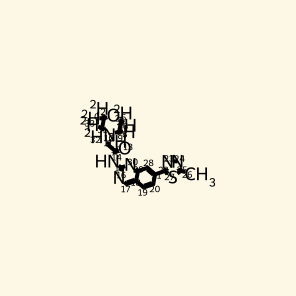 [2H]C1([2H])OC([2H])([2H])C([2H])([2H])N(CC(=O)Nc2ncc3ccc(-c4nnc(C)s4)cc3n2)C1([2H])[2H]